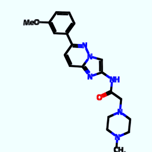 COc1cccc(-c2ccc3nc(NC(=O)CN4CCN(C)CC4)cn3n2)c1